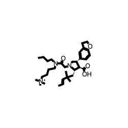 C/C=C/C(C)(C)C[C@H]1[C@H](C(=O)O)[C@@H](c2ccc3c(c2)CCO3)CN1CC(=O)N(CCCC)CCCC[N+](C)(C)C